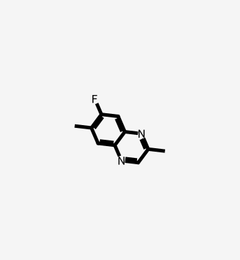 Cc1cnc2cc(C)c(F)cc2n1